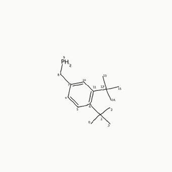 CC(C)(C)c1ccc(CP)cc1C(C)(C)C